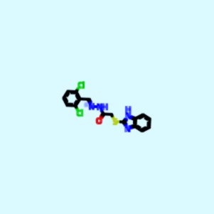 O=C(CSc1nc2ccccc2[nH]1)N/N=C/c1c(Cl)cccc1Cl